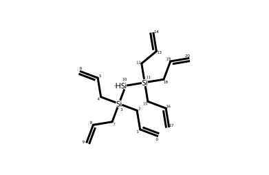 C=CC[Si](CC=C)(CC=C)[SiH][Si](CC=C)(CC=C)CC=C